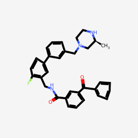 C[C@H]1CN(Cc2cccc(-c3ccc(F)c(CNC(=O)c4cccc(C(=O)c5ccccc5)c4)c3)c2)CCN1